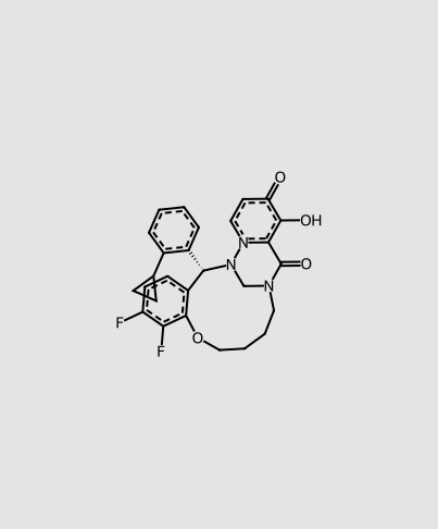 O=C1c2c(O)c(=O)ccn2N2CN1CCCCOc1c(ccc(F)c1F)[C@@H]2c1ccccc1C1CC1